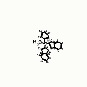 C[Si](C1=Cc2ccccc2[CH]1)(C1=Cc2ccccc2[CH]1)c1ccccc1